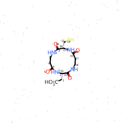 O=C(O)C[C@@H]1NC(=O)CCNC(=O)[C@H](CS)NC(=O)CCNC1=O